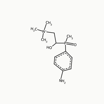 C[N+](C)(C)CC(O)P(C)(=O)c1ccc(N)cc1